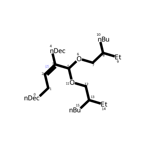 CCCCCCCCCCC/C=C(/CCCCCCCCCC)C(OCC(CC)CCCC)OCC(CC)CCCC